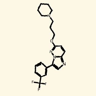 FC(F)(F)c1cccc(-c2cnc3ccc(OCCCN4CCCCC4)nn23)c1